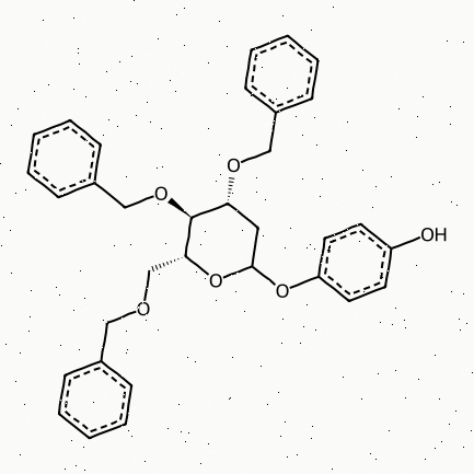 Oc1ccc(OC2C[C@@H](OCc3ccccc3)[C@H](OCc3ccccc3)[C@@H](COCc3ccccc3)O2)cc1